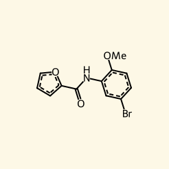 COc1ccc(Br)cc1NC(=O)c1ccco1